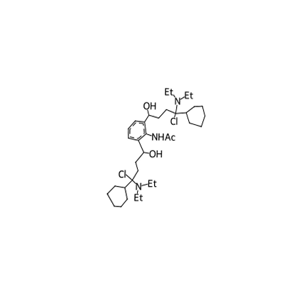 CCN(CC)C(Cl)(CCC(O)c1cccc(C(O)CCC(Cl)(C2CCCCC2)N(CC)CC)c1NC(C)=O)C1CCCCC1